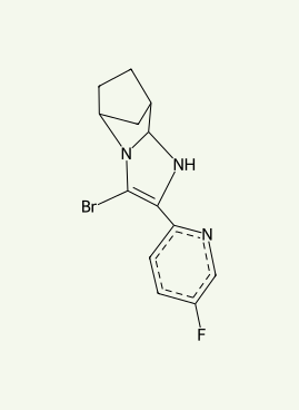 Fc1ccc(C2=C(Br)N3C4CCC(C4)C3N2)nc1